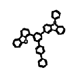 c1ccc(-c2ccc(-c3cc(-c4ccc5c(c4)c4ccccc4n5-c4ccccc4)cc(-c4cccc5c4oc4ccccc45)c3)cc2)cc1